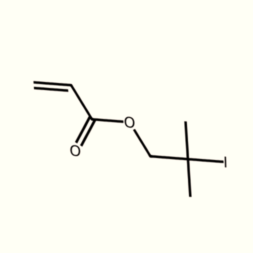 C=CC(=O)OCC(C)(C)I